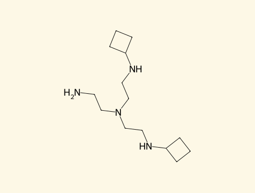 NCCN(CCNC1CCC1)CCNC1CCC1